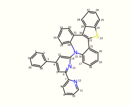 c1ccc(-c2cc(-c3ccccn3)nc(N3c4ccccc4-c4sc5ccccc5c4-c4ccccc43)c2)cc1